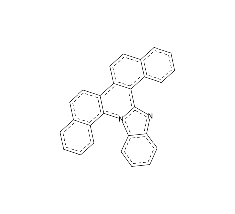 c1ccc2c(c1)ccc1c3ccc4ccccc4c3n3c4ccccc4nc3c21